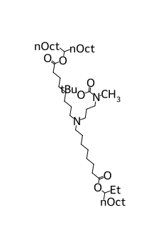 CCCCCCCCC(CC)OC(=O)CCCCCCCN(CCCCCCCC(=O)OC(CCCCCCCC)CCCCCCCC)CCCN(C)C(=O)OC(C)(C)C